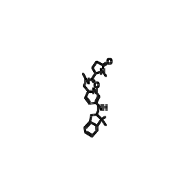 CN(Cc1ccc(NC2Cc3ccccc3C2(C)C)cn1)C(=O)C1CCC(=O)N1C